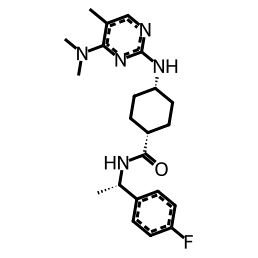 Cc1cnc(N[C@H]2CC[C@@H](C(=O)N[C@@H](C)c3ccc(F)cc3)CC2)nc1N(C)C